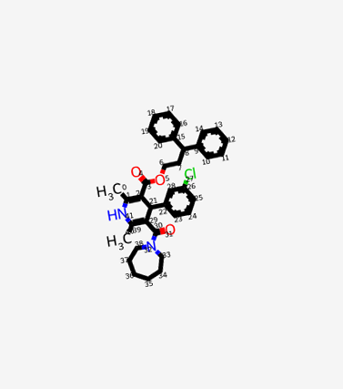 CC1=C(C(=O)OCCC(c2ccccc2)c2ccccc2)C(c2cccc(Cl)c2)C(C(=O)N2CCCCCC2)=C(C)N1